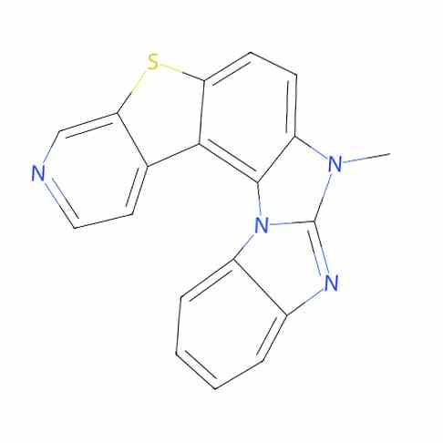 Cn1c2ccc3sc4cnccc4c3c2n2c3ccccc3nc12